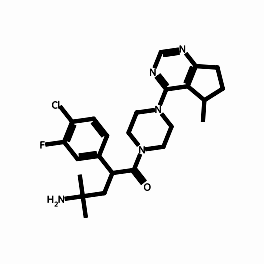 CC1CCc2ncnc(N3CCN(C(=O)C(CC(C)(C)N)c4ccc(Cl)c(F)c4)CC3)c21